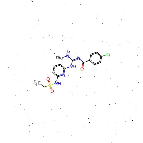 CC(C)(C)N/C(=N/C(=O)c1ccc(Cl)cc1)Nc1cccc(NS(=O)(=O)CC(F)(F)F)n1